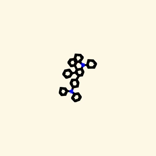 c1ccc(-c2c(-c3ccc(N(c4ccccc4)c4ccccc4)cc3)ccc(N(c3ccccc3)c3ccccc3)c2-c2ccccc2)cc1